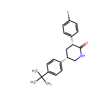 CC(C)(C)c1ccc([C@H]2CNC(=O)[C@@H](c3ccc(F)cc3)C2)cc1